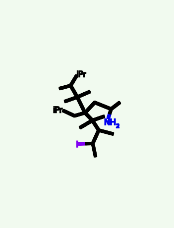 CC(C)CC(CC(C)N)(C(C)(C)C(C)C(C)C)C(C)(C)C(C)C(C)I